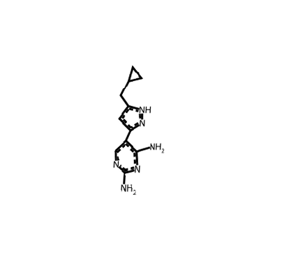 Nc1ncc(-c2cc(CC3CC3)[nH]n2)c(N)n1